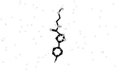 CC(C)OCCNC(=O)c1cc(-c2ccc(F)cc2)on1